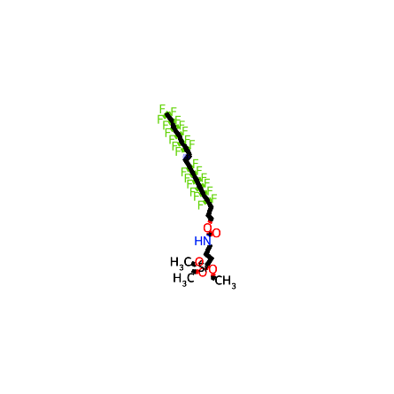 CCO[Si](CCCNC(=O)OCCCC(F)(F)C(F)(F)C(F)(F)C(F)(F)C(F)(F)C(F)(F)/C=C/C(F)(F)C(F)(F)C(F)(F)C(F)(F)C(F)(F)C(F)(F)F)(OCC)OCC